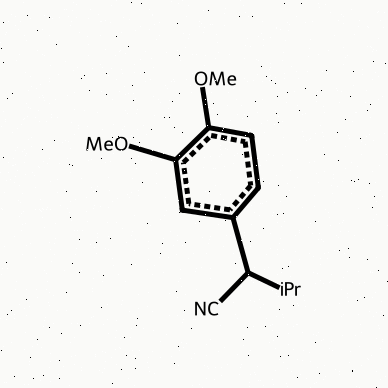 COc1ccc(C(C#N)C(C)C)cc1OC